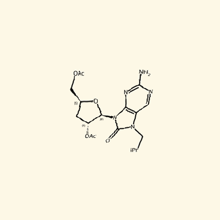 CC(=O)OC[C@@H]1C[C@@H](OC(C)=O)[C@H](n2c(=O)n(CC(C)C)c3cnc(N)nc32)O1